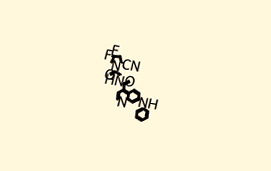 N#C[C@@H]1CC(F)(F)CN1C(=O)CNC(=O)c1ccnc2cc(Nc3ccccc3)ccc12